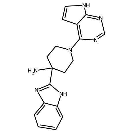 NC1(c2nc3ccccc3[nH]2)CCN(c2ncnc3[nH]ccc23)CC1